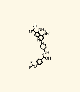 CCCc1cc(N2CCC(NCC(O)c3ccc(OC(F)F)cc3)CC2)nc2sc(C(N)=O)c(N)c12